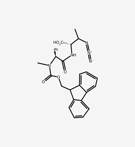 CC(N=[N+]=[N-])[C@H](NC(=O)[C@H](C(C)C)N(C)C(=O)OCC1c2ccccc2-c2ccccc21)C(=O)O